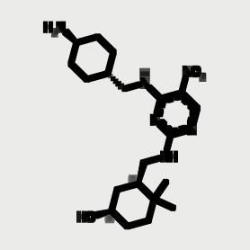 CC1(C)CC[C@@H](O)C[C@H]1CNc1ncc([N+](=O)[O-])c(NC[C@H]2CC[C@H](N)CC2)n1